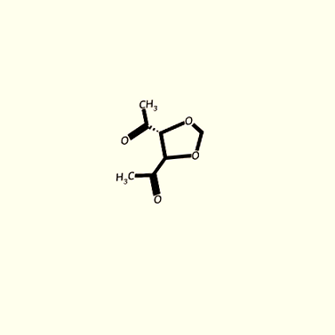 CC(=O)C1OCO[C@H]1C(C)=O